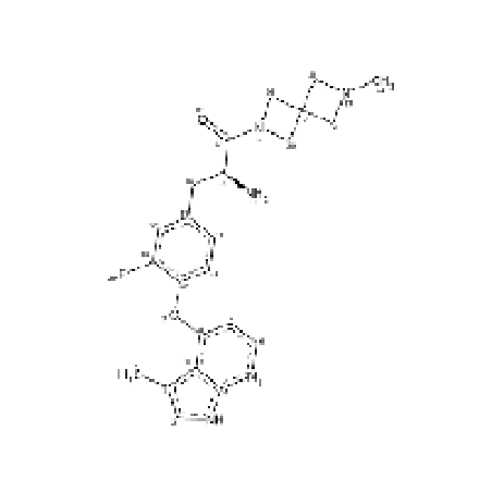 Cc1c[nH]c2nccc(Oc3ccc(C[C@H](N)C(=O)N4CC5(CN(C)C5)C4)cc3F)c12